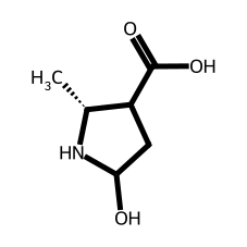 C[C@H]1NC(O)CC1C(=O)O